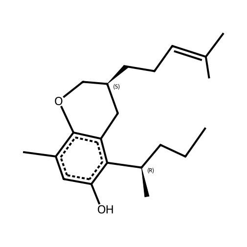 CCC[C@@H](C)c1c(O)cc(C)c2c1C[C@H](CCC=C(C)C)CO2